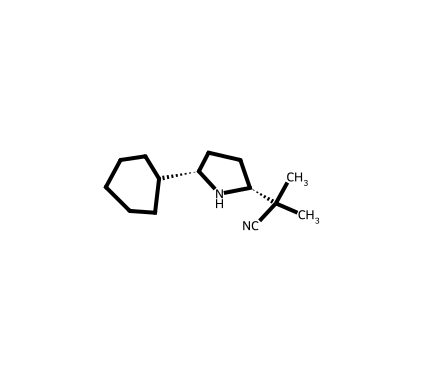 CC(C)(C#N)[C@H]1CC[C@@H](C2CCCCC2)N1